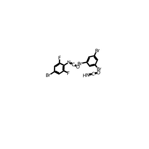 Brc1cc(Br)cc(Br)c1.N=C=O.O=C=Nc1c(F)cc(Br)cc1F